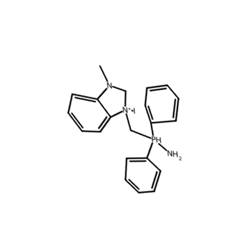 CN1C[N+](I)(C[PH](N)(c2ccccc2)c2ccccc2)c2ccccc21